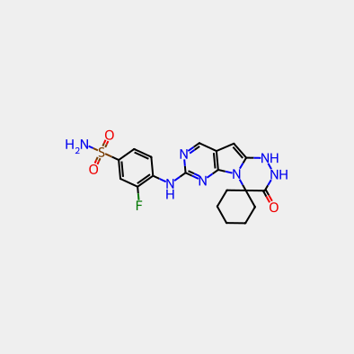 NS(=O)(=O)c1ccc(Nc2ncc3cc4n(c3n2)C2(CCCCC2)C(=O)NN4)c(F)c1